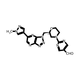 Cn1cc(-c2cnc3nnn(C[C@@H]4CN(c5ncc(C=O)cn5)CCO4)c3n2)cn1